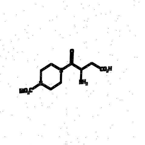 CCOC(=O)N1CCN(C(=O)C(N)CC(=O)O)CC1